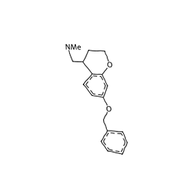 CNCC1CCOc2cc(OCc3ccccc3)ccc21